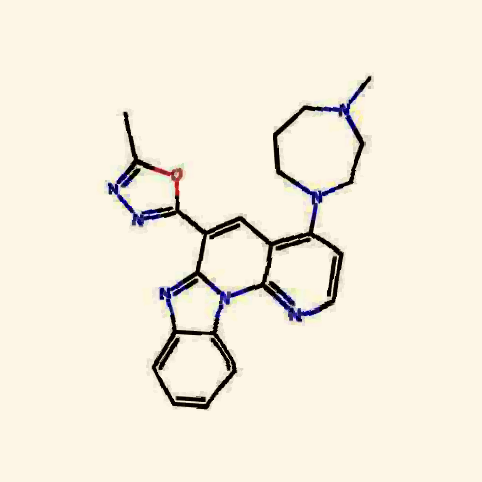 Cc1nnc(-c2cc3c(N4CCCN(C)CC4)ccnc3n3c2nc2ccccc23)o1